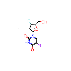 O=c1[nH]c(=O)n([C@H]2CC(F)[C@@H](CO)O2)cc1I